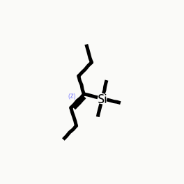 CC/C=C(/CCC)[Si](C)(C)C